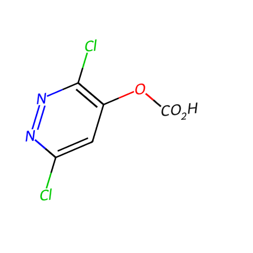 O=C(O)Oc1cc(Cl)nnc1Cl